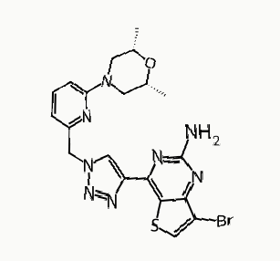 C[C@@H]1CN(c2cccc(Cn3cc(-c4nc(N)nc5c(Br)csc45)nn3)n2)C[C@H](C)O1